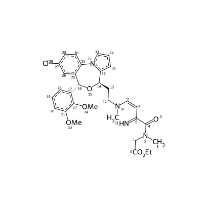 CCOC(=O)CN(C)C(=O)C(=N)/C=C\N(C)CC[C@H]1O[C@H](c2cccc(OC)c2OC)c2cc(Cl)ccc2-n2cccc21